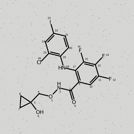 O=C(NOCC1(O)CC1)c1cc(F)c(F)c(F)c1Nc1ccc(I)cc1Cl